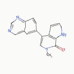 Cn1cc(-c2ccc3ncncc3c2)c2cc[nH]c2c1=O